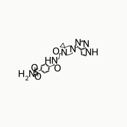 NS(=O)(=O)c1ccc(C(=O)NCC(=O)N2CCN(c3ncnc4[nH]ccc34)CC23CC3)cc1